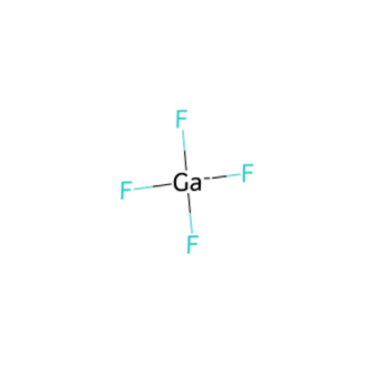 [F][Ga-]([F])([F])[F]